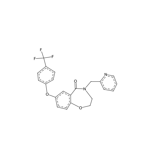 O=C1c2cc(Oc3ccc(C(F)(F)F)cc3)ccc2OCCN1Cc1ccccn1